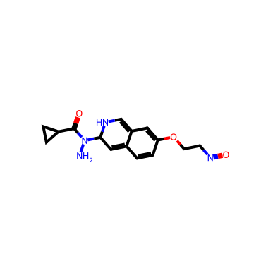 NN(C(=O)C1CC1)C1C=c2ccc(OCCN=O)cc2=CN1